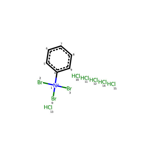 Br[N+](Br)(Br)c1ccccc1.Cl.Cl.Cl.Cl.Cl.Cl